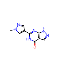 Cn1cc(-c2nc3[nH]ncc3c(=O)[nH]2)cn1